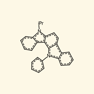 CC(C)n1c2ccccc2c2c3c(ccc21)c1ccccc1n3-c1ccccc1